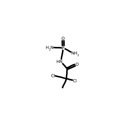 CC(Cl)(Cl)C(=O)NP(N)(N)=O